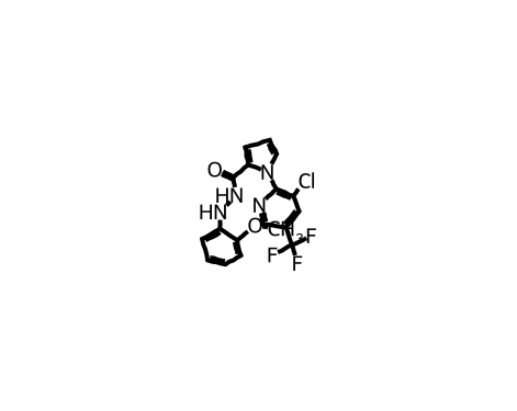 COc1ccccc1NNC(=O)c1cccn1-c1ncc(C(F)(F)F)cc1Cl